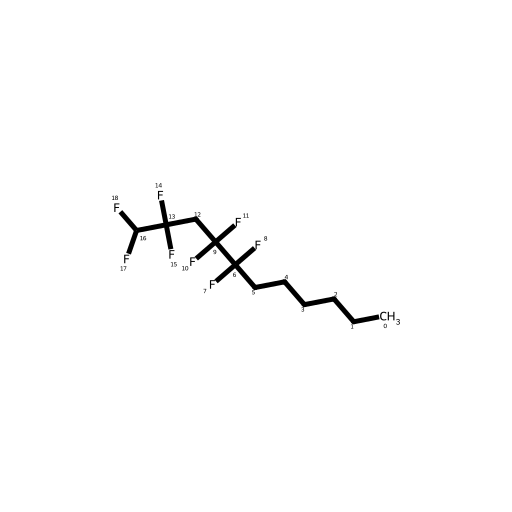 CCCCCCC(F)(F)C(F)(F)CC(F)(F)[C](F)F